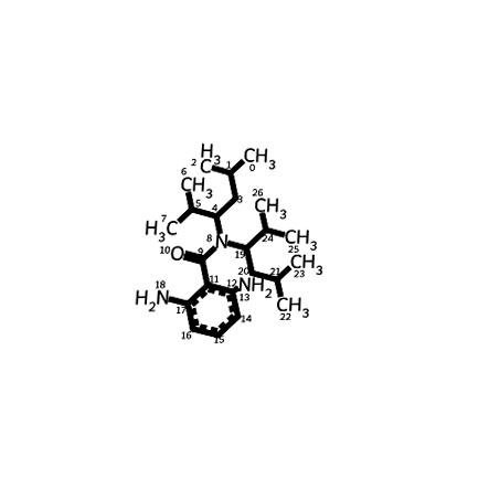 CC(C)CC(C(C)C)N(C(=O)c1c(N)cccc1N)C(CC(C)C)C(C)C